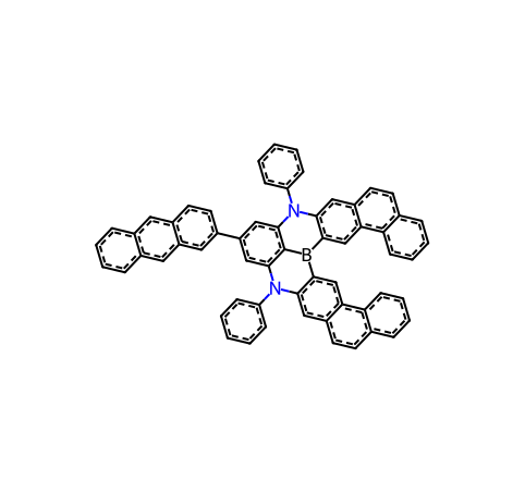 c1ccc(N2c3cc4ccc5ccccc5c4cc3B3c4cc5c(ccc6ccccc65)cc4N(c4ccccc4)c4cc(-c5ccc6cc7ccccc7cc6c5)cc2c43)cc1